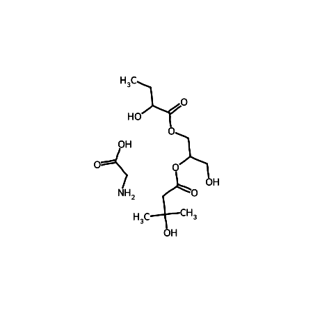 CCC(O)C(=O)OCC(CO)OC(=O)CC(C)(C)O.NCC(=O)O